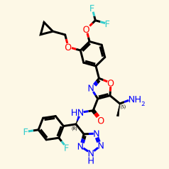 C[C@H](N)c1oc(-c2ccc(OC(F)F)c(OCC3CC3)c2)nc1C(=O)N[C@@H](c1nn[nH]n1)c1ccc(F)cc1F